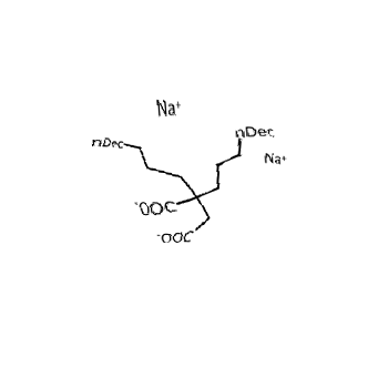 CCCCCCCCCCCCCC(CCCCCCCCCCCCC)(CC(=O)[O-])C(=O)[O-].[Na+].[Na+]